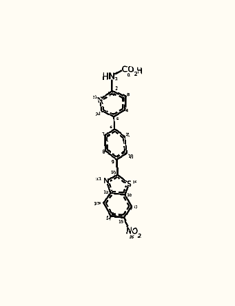 O=C(O)Nc1ccc(-c2ccc(-c3nc4ccc([N+](=O)[O-])cc4s3)cc2)cn1